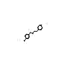 Cc1ccc(CCC(=O)C(N)c2ccc(C(=O)O)cc2)cc1